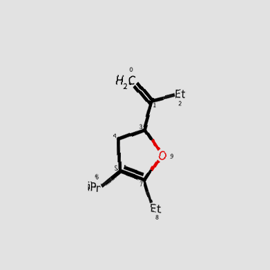 C=C(CC)C1CC(C(C)C)=C(CC)O1